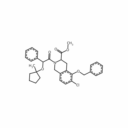 COC(=O)C1Cc2c(ccc(Cl)c2OCc2ccccc2)CN1C(=O)C(OC1(C)CCCC1)c1ccccc1